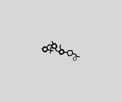 CCc1cc(C2CCC(CC(C)=O)CC2)ccc1Cc1ccc(C)c(Cc2ccccc2C(C)(C)C)c1